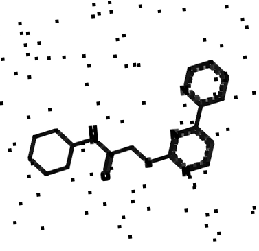 O=C(CSc1nccc(-c2ccccn2)n1)NC1CCCCC1